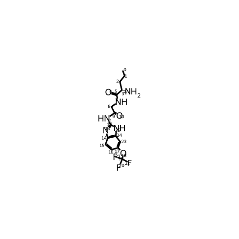 CCC[C@H](N)C(=O)NCC(=O)Nc1nc2ccc(OC(F)(F)F)cc2[nH]1